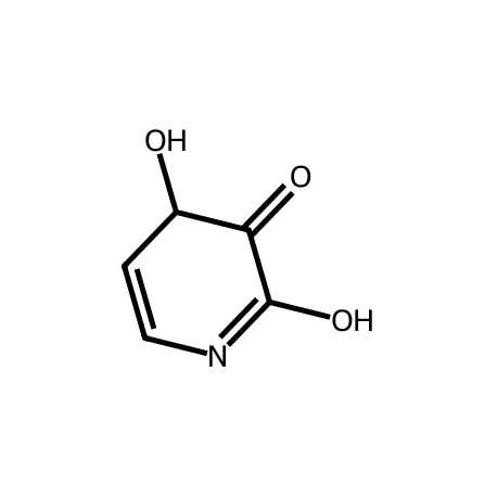 O=C1C(O)=NC=CC1O